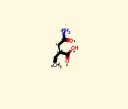 C=C[C@@H](CC(N)=O)C(=O)O